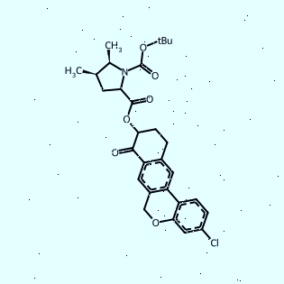 C[C@@H]1CC(C(=O)OC2CCc3cc4c(cc3C2=O)COc2cc(Cl)ccc2-4)N(C(=O)OC(C)(C)C)[C@@H]1C